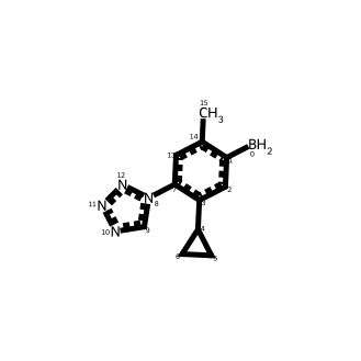 Bc1cc(C2CC2)c(-n2cnnn2)cc1C